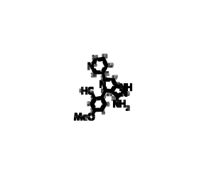 [CH]c1cc(OC)ccc1-c1nc(-c2cccnc2)cc2[nH]nc(N)c12